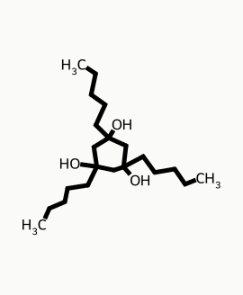 CCCCCC1(O)CC(O)(CCCCC)CC(O)(CCCCC)C1